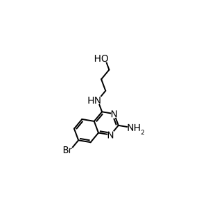 Nc1nc(NCCCO)c2ccc(Br)cc2n1